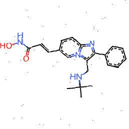 CC(C)(C)NCc1c(-c2ccccc2)nc2ccc(C=CC(=O)NO)cn12